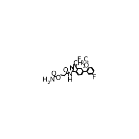 CN1N=C(NC(=O)CCOC(N)=O)C2=CC=C(c3cc(F)ccc3OCC(F)(F)F)CC21